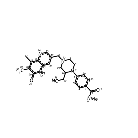 CNC(=O)c1ccc(N2CCN(Cc3cnc4c(C)c(C(F)(F)F)c(=O)[nH]c4c3)CC2CC#N)cn1